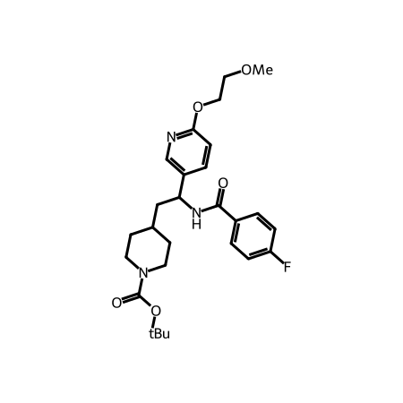 COCCOc1ccc(C(CC2CCN(C(=O)OC(C)(C)C)CC2)NC(=O)c2ccc(F)cc2)cn1